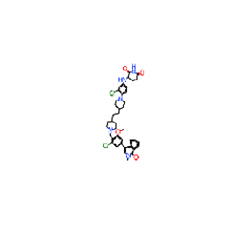 COc1cc(-c2cn(C)c(=O)c3ccccc23)cc(Cl)c1CN1CCC(CCC2CCN(c3ccc(NC4CCC(=O)NC4=O)cc3Cl)CC2)CC1